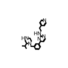 CC(C)C1CNCCN1Cc1cccc(-c2ccnc(NCCc3ccncc3)n2)c1